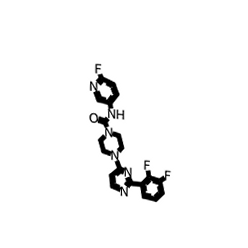 O=C(Nc1ccc(F)nc1)N1CCN(c2ccnc(-c3cccc(F)c3F)n2)CC1